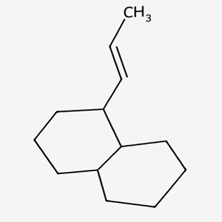 CC=CC1CCCC2CCCCC12